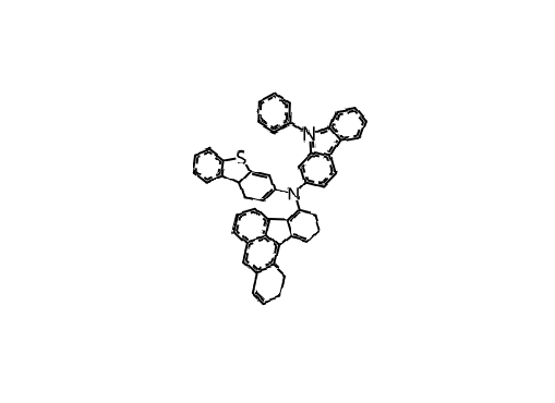 C1=Cc2cc3cccc4c3c(c2CC1)C1=CCCC(N(C2=CCC3C(=C2)Sc2ccccc23)c2ccc3c5ccccc5n(-c5ccccc5)c3c2)=C14